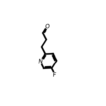 O=CCCc1ccc(F)cn1